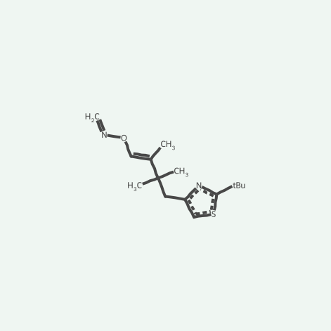 C=NO/C=C(\C)C(C)(C)Cc1csc(C(C)(C)C)n1